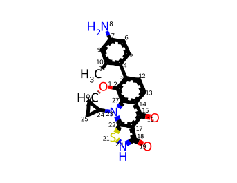 COc1c(-c2ccc(N)cc2C)ccc2c(=O)c3c(=O)[nH]sc3n(C3CC3)c12